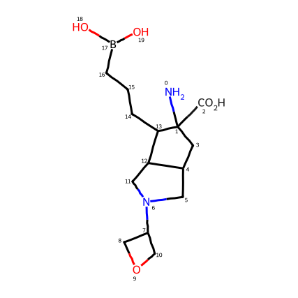 NC1(C(=O)O)CC2CN(C3COC3)CC2C1CCCB(O)O